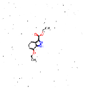 CCOC(=O)c1n[nH]c2c1CCC=C2OCC